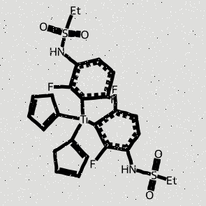 CCS(=O)(=O)Nc1ccc(F)[c]([Ti]([C]2=CC=CC2)([C]2=CC=CC2)[c]2c(F)ccc(NS(=O)(=O)CC)c2F)c1F